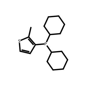 Cc1sccc1P(C1CCCCC1)C1CCCCC1